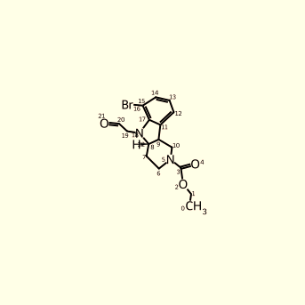 CCOC(=O)N1CC[C@H]2C(C1)c1cccc(Br)c1N2CC=O